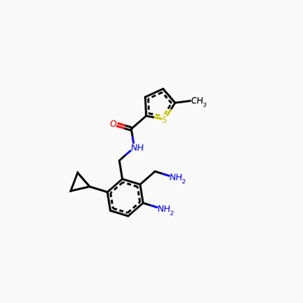 Cc1ccc(C(=O)NCc2c(C3CC3)ccc(N)c2CN)s1